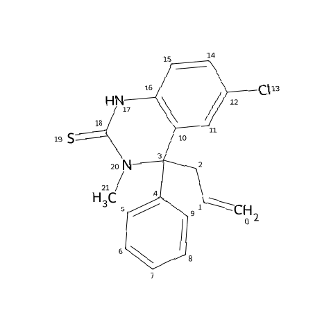 C=CCC1(c2ccccc2)c2cc(Cl)ccc2NC(=S)N1C